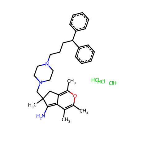 CC1=C(C)C2=C(N)C(C)(CN3CCN(CCCC(c4ccccc4)c4ccccc4)CC3)CC2=C(C)O1.Cl.Cl.Cl